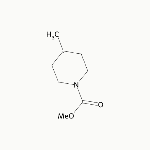 COC(=O)N1CC[C](C)CC1